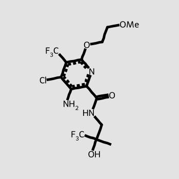 COCCOc1nc(C(=O)NCC(C)(O)C(F)(F)F)c(N)c(Cl)c1C(F)(F)F